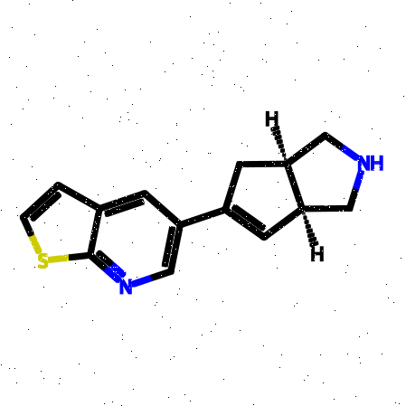 C1=C(c2cnc3sccc3c2)C[C@H]2CNC[C@@H]12